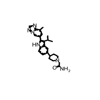 Cc1cc(-c2[nH]c3ccc(C4CCN(CC(N)=O)CC4)cc3c2C(C)C)cn2ncnc12